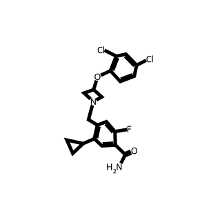 NC(=O)c1cc(C2CC2)c(CN2CC(Oc3ccc(Cl)cc3Cl)C2)cc1F